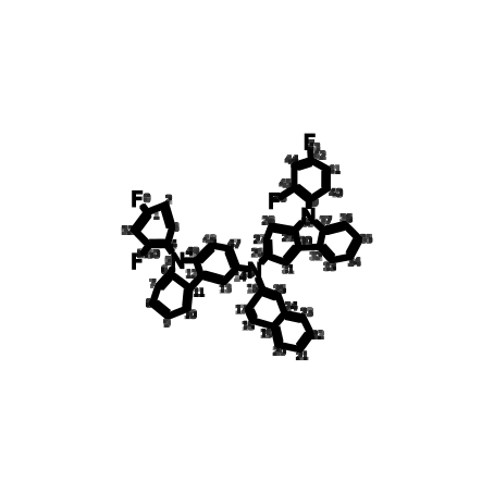 Fc1ccc(-n2c3ccccc3c3cc(N(c4ccc5ccccc5c4)c4ccc5c(c4)c4ccccc4n5-c4ccc(F)cc4F)ccc32)c(F)c1